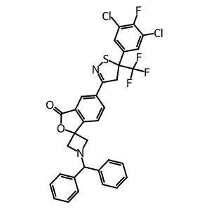 O=C1OC2(CN(C(c3ccccc3)c3ccccc3)C2)c2ccc(C3=NSC(c4cc(Cl)c(F)c(Cl)c4)(C(F)(F)F)C3)cc21